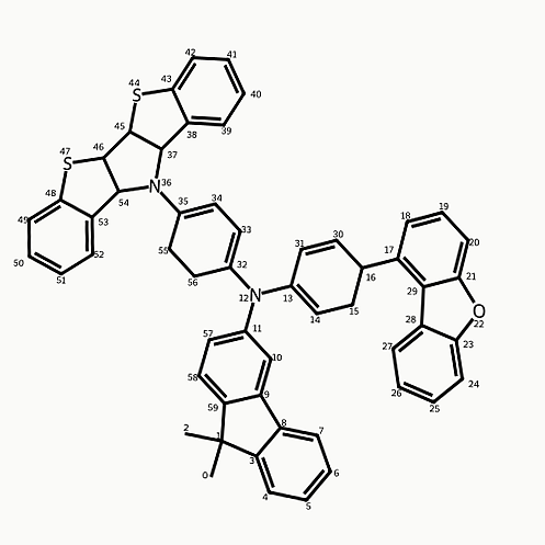 CC1(C)c2ccccc2-c2cc(N(C3=CCC(c4cccc5oc6ccccc6c45)C=C3)C3=CC=C(N4C5c6ccccc6SC5C5Sc6ccccc6C54)CC3)ccc21